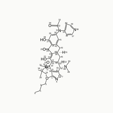 CCCCOc1noc2c1C(=O)[C@@]1(O[Si](C)(C)C(C)(C)C)C(O)=C3C(=O)c4c(O)cc(N(C(C)=O)c5ccncc5)cc4C[C@H]3C[C@H]1[C@@H]2N(C)C